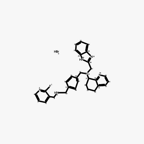 Br.Fc1ncccc1CNCc1ccc(CN(Cc2nc3ccccc3[nH]2)C2CCCc3cccnc32)cc1